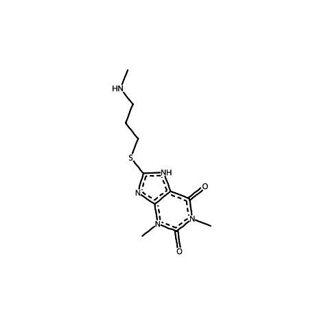 CNCCCSc1nc2c([nH]1)c(=O)n(C)c(=O)n2C